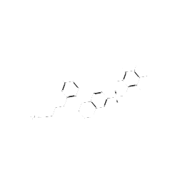 COCCCc1cc(C(F)(F)F)ccc1[C@@H]1CCOc2cc(S(=O)(=O)Oc3c(F)c(F)c(F)c(F)c3F)ccc21